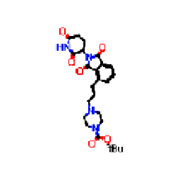 CC(C)(C)OC(=O)N1CCN(CCCc2cccc3c2C(=O)N(C2CCC(=O)NC2=O)C3=O)CC1